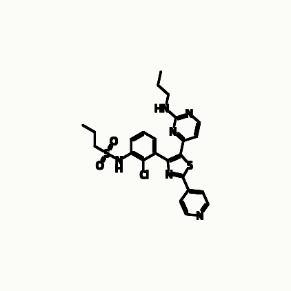 CCCNc1nccc(-c2sc(-c3ccncc3)nc2-c2cccc(NS(=O)(=O)CCC)c2Cl)n1